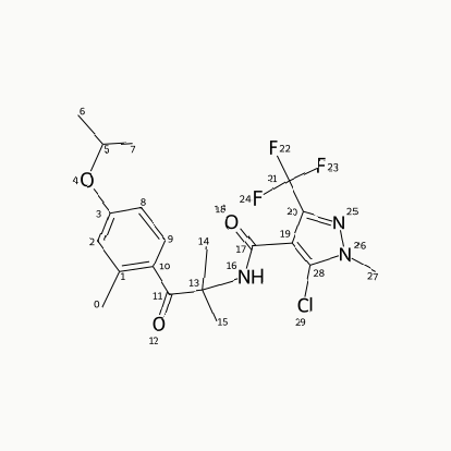 Cc1cc(OC(C)C)ccc1C(=O)C(C)(C)NC(=O)c1c(C(F)(F)F)nn(C)c1Cl